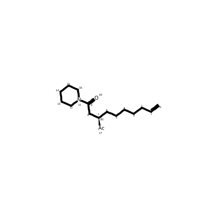 C=CCCCCC[C@H](CC(=O)N1CCCCC1)C(C)=O